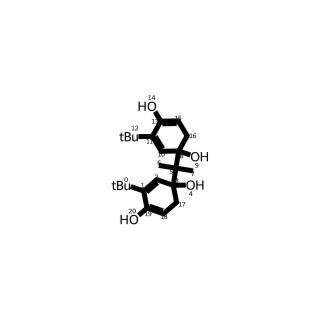 CC(C)(C)C1=CC(O)(C(C)(C)C2(O)C=C(C(C)(C)C)C(O)=CC2)CC=C1O